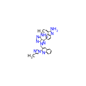 C/C=C1/C(N)=Nc2ccc(C3=NN(Cc4cc5ccccc5nc4-n4cnc(C)c4)C4N=CN=C(N)C34)cc21